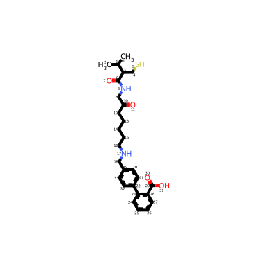 CC(C)C(CS)C(=O)NCC(=O)CCCCCNCc1ccc(-c2ccccc2C(=O)O)cc1